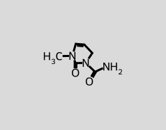 CN1C=CCN(C(N)=O)C1=O